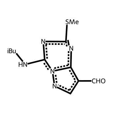 CCC(C)Nc1nc(SC)nc2c(C=O)cnn12